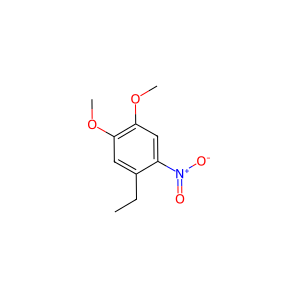 CCc1cc(OC)c(OC)cc1[N+](=O)[O-]